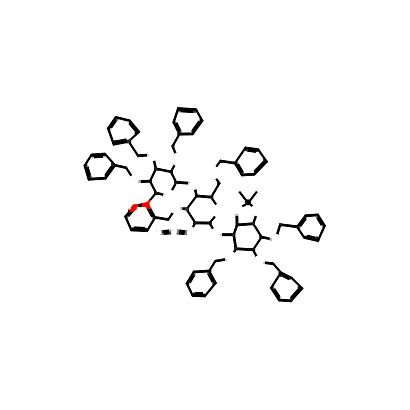 CC1(C)OC2C(OCc3ccccc3)C(OCc3ccccc3)C(OCc3ccccc3)C(OC3OC(COCc4ccccc4)C(OC4OC(CO)C(OCc5ccccc5)C(OCc5ccccc5)C4OCc4ccccc4)C(OCc4ccccc4)C3N=[N+]=[N-])C2O1